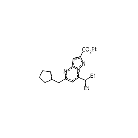 CCOC(=O)c1cc2nc(CC3CCCC3)cc(C(CC)CC)n2n1